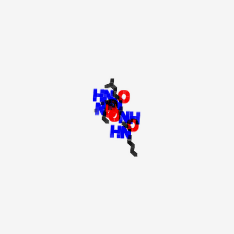 CCCCCNC(=O)CNC(=O)CNC(=O)C(CC(C)C)NC(=O)CN(C)C(=O)CC